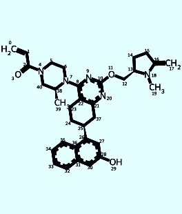 C=CC(=O)N1CCN(c2nc(OC[C@H]3CCC(=C)N3C)nc3c2CC[C@H](c2cc(O)cc4ccccc24)C3)[C@@H](C)C1